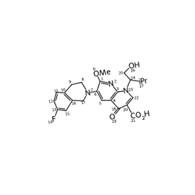 COc1nc2c(cc1N1CCc3ccc(F)cc3C1)c(=O)c(C(=O)O)cn2C(CO)C(C)C